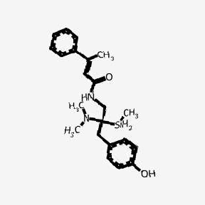 C[SiH2][C@](CNC(=O)/C=C(\C)c1ccccc1)(Cc1ccc(O)cc1)N(C)C